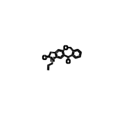 C=CCN1C(=O)Cc2cc3c(cc21)C(=O)c1ccccc1CO3